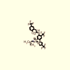 CN(C)/C=N/S(=O)(=O)c1cc(NC(=O)Cc2cc(C(F)(F)F)ccc2Cl)c(C(F)(F)F)cc1-n1cc(C(F)(F)F)cn1